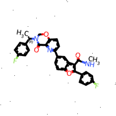 CNC(=O)c1c(-c2ccc(F)cc2)oc2ccc(-c3ccc4c(n3)C(=O)N([C@H](C)c3ccc(F)cc3)CO4)cc12